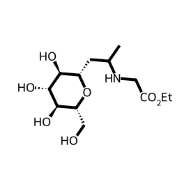 CCOC(=O)CNC(C)C[C@@H]1O[C@H](CO)[C@@H](O)[C@H](O)[C@H]1O